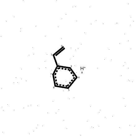 C=Cc1ccccc1.[H+]